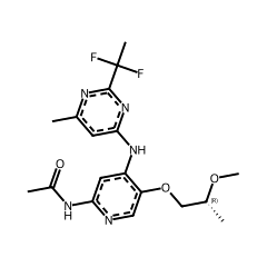 CO[C@H](C)COc1cnc(NC(C)=O)cc1Nc1cc(C)nc(C(C)(F)F)n1